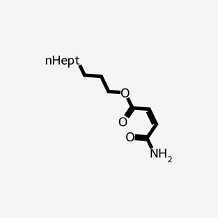 CCCCCCCCCCOC(=O)/C=C\C(N)=O